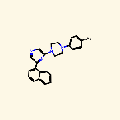 CC(=O)c1ccc(N2CCN(c3cncc(-c4cccc5ccccc45)n3)CC2)cc1